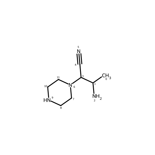 CC(N)C(C#N)N1CCNCC1